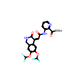 CNC(=O)c1ncccc1NC(=O)/C=C1\C(=O)NCc2cc(OC(F)F)c(OC(F)F)cc21